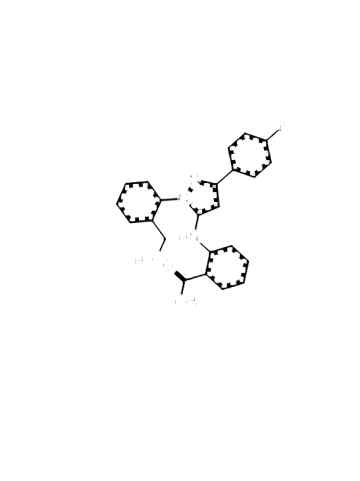 CCc1ccccc1-n1nc(-c2ccc(F)cc2)cc1Nc1ccccc1C(=O)O